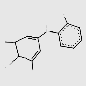 CC1C=C(Nc2ccccc2F)C=C(F)C1C#N